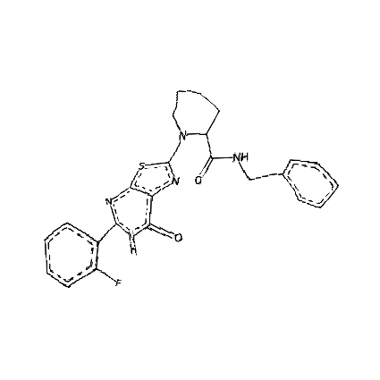 O=C(NCc1ccccc1)C1CCCCN1c1nc2c(=O)[nH]c(-c3ccccc3F)nc2s1